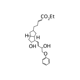 CCOC(=O)/C=C/CCC1C[C@H]2C[C@@H](O)[C@H](C=CC(O)COc3ccccc3)[C@@H]2C1